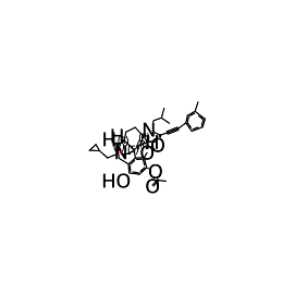 CC(=O)Oc1cc(O)c2c3c1O[C@H]1[C@H](N(CC(C)C)C(=O)C#Cc4cccc(C)c4)CC[C@H]4[C@@H](C2)N(CC2CC2)CC[C@@]341